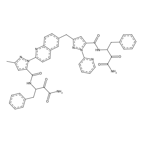 Cc1cc(C(=O)NC(Cc2ccccc2)C(=O)C(N)=O)n(-c2ccc3cc(Cc4cc(C(=O)NC(Cc5ccccc5)C(=O)C(N)=O)n(-c5ccccn5)n4)ccc3n2)n1